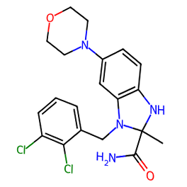 CC1(C(N)=O)Nc2ccc(N3CCOCC3)cc2N1Cc1cccc(Cl)c1Cl